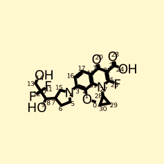 COc1c(N2CCC(C(O)C(F)(F)CO)C2)ccc2c(=O)c(C(=O)O)c(F)n(C3CC3)c12